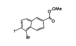 COOC(=O)c1ccc2c(Br)c(I)ccc2c1